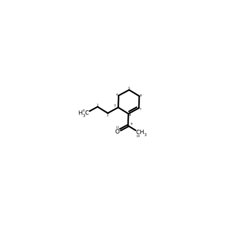 CCCC1CCCC=C1C(C)=O